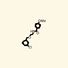 COc1ccc(C(=O)NCCOCc2cccc(Cl)c2)cc1